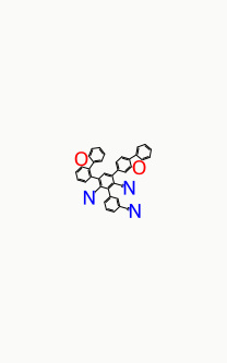 N#Cc1cccc(-c2c(C#N)c(-c3ccc4c(c3)oc3ccccc34)cc(-c3cccc4oc5ccccc5c34)c2C#N)c1